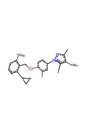 CCCCc1c(C)nn(-c2ccc(OCc3c(NC)cccc3C3CC3)c(C)c2)c1C